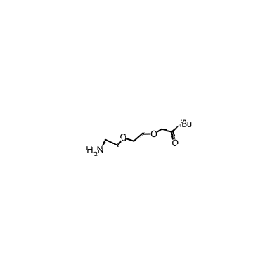 CC[C@H](C)C(=O)COCCOCCN